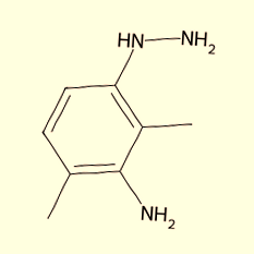 Cc1ccc(NN)c(C)c1N